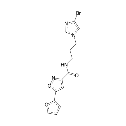 O=C(NCCCn1cnc(Br)c1)c1cc(-c2ccco2)on1